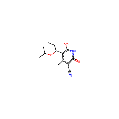 CCC(OC(C)C)c1c(O)[nH]c(=O)c(C#N)c1C